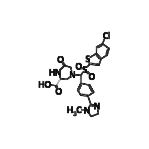 CN1CCN=C1c1ccc(C(N2CC(=O)N[C@@H](C(=O)O)C2)S(=O)(=O)c2cc3ccc(Cl)cc3s2)cc1